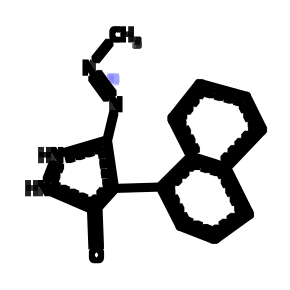 C/N=N/c1[nH][nH]c(=O)c1-c1cccc2ccccc12